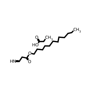 CCC(=O)O.CCCCCCCCCCCCOC(=O)CC=N